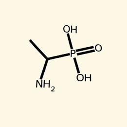 CC(N)P(=O)(O)O